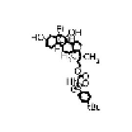 CC[C@@H]1C2C[C@H](O)CC[C@@]2(C)[C@H]2CCC3(C)[C@@H]([C@H](C)CCOC(=O)NS(=O)(=O)c4ccc(C(C)(C)C)cc4)CC[C@H]3C2[C@@H]1O